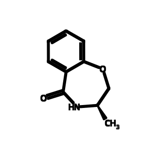 C[C@@H]1COc2ccccc2C(=O)N1